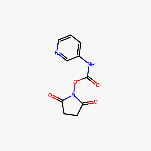 O=C(Nc1cccnc1)ON1C(=O)CCC1=O